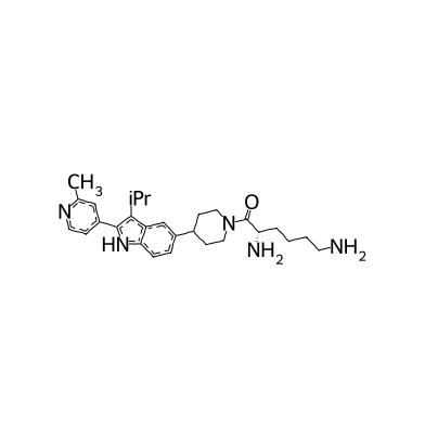 Cc1cc(-c2[nH]c3ccc(C4CCN(C(=O)[C@@H](N)CCCCN)CC4)cc3c2C(C)C)ccn1